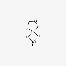 [CH]1NCC12CCOC2